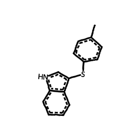 Cc1ccc(Sc2c[nH]c3ccccc23)cc1